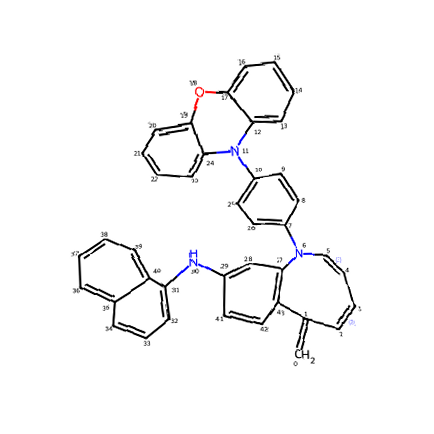 C=C1/C=C\C=C/N(c2ccc(N3c4ccccc4Oc4ccccc43)cc2)c2cc(Nc3cccc4ccccc34)ccc21